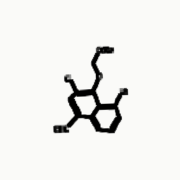 CCc1cccc2c(C=O)cc(Cl)c(OCOC)c12